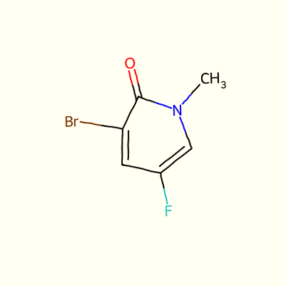 Cn1cc(F)cc(Br)c1=O